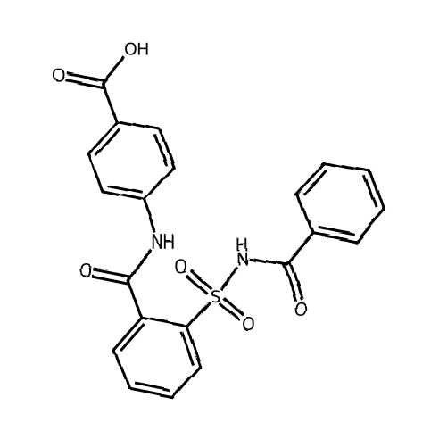 O=C(O)c1ccc(NC(=O)c2ccccc2S(=O)(=O)NC(=O)c2ccccc2)cc1